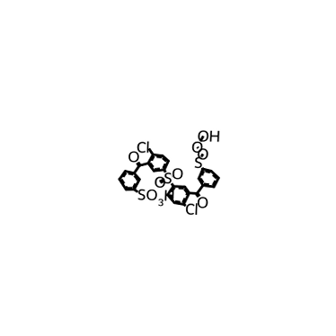 O=C(c1cccc(SOOO)c1)c1cc(S(=O)(=O)c2ccc(Cl)c(C(=O)c3cccc(S(=O)(=O)O)c3)c2)ccc1Cl